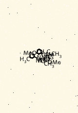 COc1cccc(OC)c1-n1c(NS(=O)(=O)[C@@H](C)[C@@H](OC)c2nc(C)c(C)s2)nnc1-c1cncc(C)c1